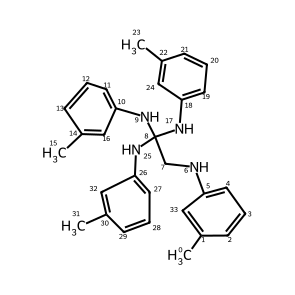 Cc1cccc(NCC(Nc2cccc(C)c2)(Nc2cccc(C)c2)Nc2cccc(C)c2)c1